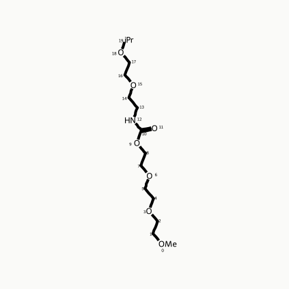 COCCOCCOCCOC(=O)NCCOCCOC(C)C